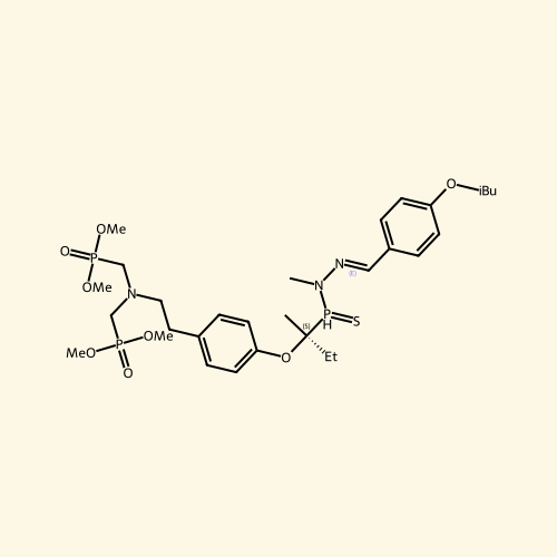 CCC(C)Oc1ccc(/C=N/N(C)[PH](=S)[C@@](C)(CC)Oc2ccc(CCN(CP(=O)(OC)OC)CP(=O)(OC)OC)cc2)cc1